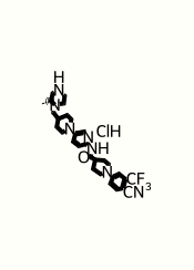 C[C@@H]1CNCCN1CC1CCN(c2ccc(NC(=O)C3CCN(c4ccc(C#N)c(C(F)(F)F)c4)CC3)nc2)CC1.Cl